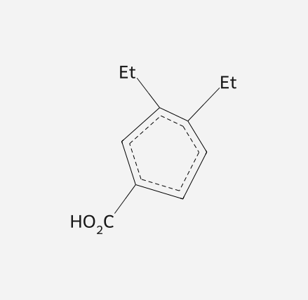 CCc1ccc(C(=O)O)cc1CC